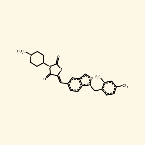 O=C(O)N1CCC(N2C(=O)SC(=Cc3ccc4c(cnn4Cc4ccc(C(F)(F)F)cc4C(F)(F)F)c3)C2=O)CC1